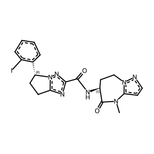 CN1C(=O)[C@@H](NC(=O)c2nc3n(n2)[C@@H](c2ccccc2I)CC3)CCn2nccc21